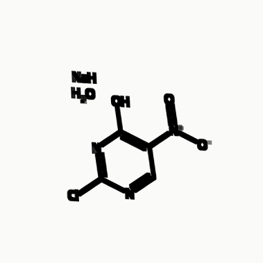 O.O=[N+]([O-])c1cnc(Cl)nc1O.[NaH]